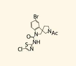 CC(=O)N1CCC2(C1)CN(C(=O)Nc1ncc(Cl)s1)c1ccc(Br)cc12